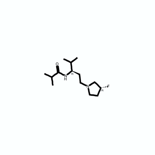 CC(C)C(=O)N[C@H](CCN1CC[C@@H](F)C1)C(C)C